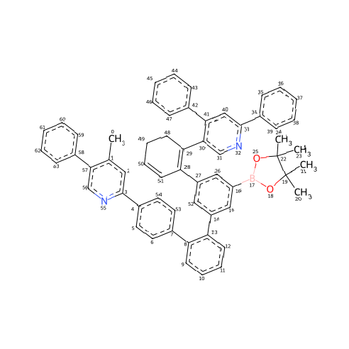 Cc1cc(-c2ccc(-c3ccccc3-c3cc(B4OC(C)(C)C(C)(C)O4)cc(C4=C(c5cnc(-c6ccccc6)cc5-c5ccccc5)CCC=C4)c3)cc2)ncc1-c1ccccc1